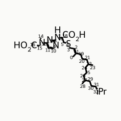 C/C(=C\CSC[C@H](Nc1nccc(N(C)CC(=O)O)n1)C(=O)O)CCCC(C)CCCC(C)CCCC(C)C